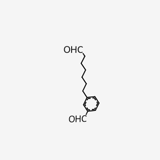 O=CCCCCCCc1cccc(C=O)c1